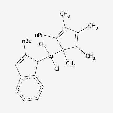 CCCCC1=Cc2ccccc2[CH]1[Zr]([Cl])([Cl])[C]1(C)C(C)=C(C)C(C)=C1CCC